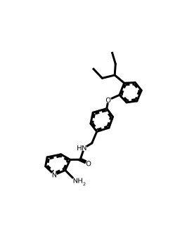 CCC(CC)c1ccccc1Oc1ccc(CNC(=O)c2cccnc2N)cc1